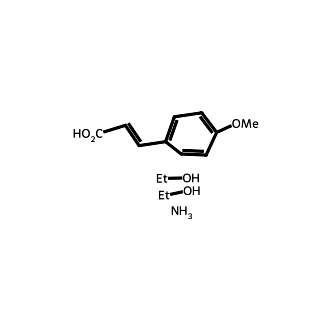 CCO.CCO.COc1ccc(C=CC(=O)O)cc1.N